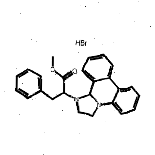 Br.COC(=O)C(Cc1ccccc1)N1CCN2c3ccccc3-c3ccccc3C21